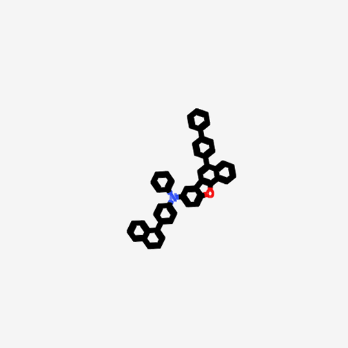 c1ccc(-c2ccc(-c3cc4c5cc(N(c6ccccc6)c6ccc(-c7cccc8ccccc78)cc6)ccc5oc4c4ccccc34)cc2)cc1